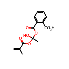 C=C(C)C(=O)OC(C)(O)OC(=O)c1ccccc1C(=O)O